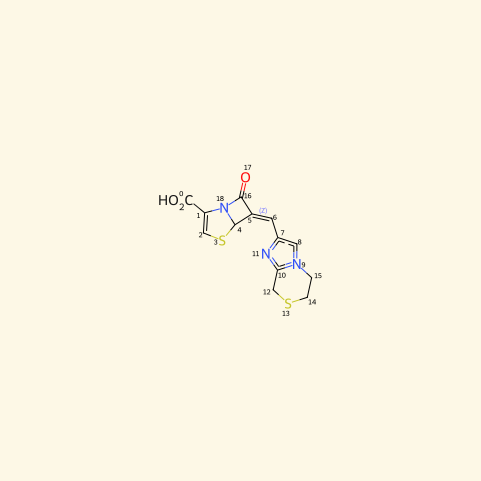 O=C(O)C1=CSC2/C(=C\c3cn4c(n3)CSCC4)C(=O)N12